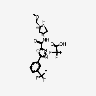 COC[C@@H]1C[C@@H](NC(=O)c2nnc(-c3cccc(C(F)(F)F)c3)o2)CN1.O=C(O)C(F)(F)F